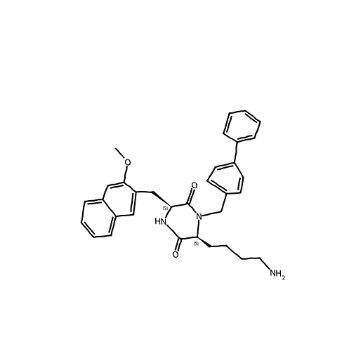 COc1cc2ccccc2cc1C[C@@H]1NC(=O)[C@H](CCCCN)N(Cc2ccc(-c3ccccc3)cc2)C1=O